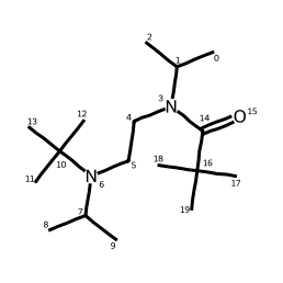 CC(C)N(CCN(C(C)C)C(C)(C)C)C(=O)C(C)(C)C